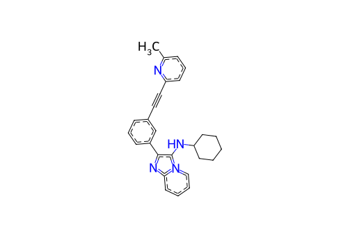 Cc1cccc(C#Cc2cccc(-c3nc4ccccn4c3NC3CCCCC3)c2)n1